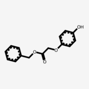 O=C(COc1ccc(O)cc1)OCc1ccccc1